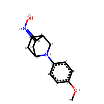 COc1ccc(N2CC3CCC2CC3=NO)cc1